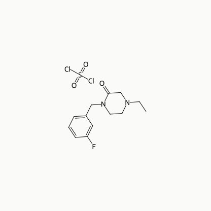 CCN1CCN(Cc2cccc(F)c2)C(=O)C1.O=S(=O)(Cl)Cl